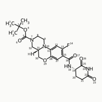 CC(C)(C)OC(=O)N1CCN2c3cc(F)c(C(=O)N[C@H]4CCC(=O)NC4=O)cc3OC[C@@H]2C1